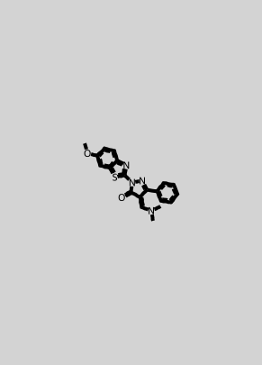 COc1ccc2nc(N3N=C(c4ccccc4)/C(=C\N(C)C)C3=O)sc2c1